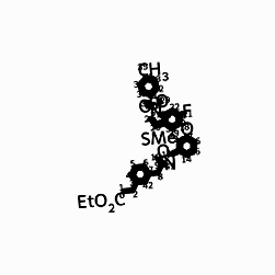 CCOC(=O)CCc1cccc(Cc2coc(-c3cccc(Oc4c(F)cc5c(ccn5S(=O)(=O)c5ccc(C)cc5)c4SC)c3)n2)c1